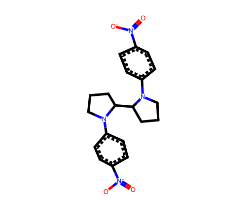 O=[N+]([O-])c1ccc(N2CCCC2C2CCCN2c2ccc([N+](=O)[O-])cc2)cc1